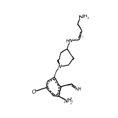 N=Cc1c(N)cc(Cl)cc1N1CCC(N/C=C\CN)CC1